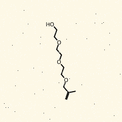 C=C(C)COCCOCCOCCO